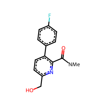 CNC(=O)c1nc(CO)ccc1-c1ccc(F)cc1